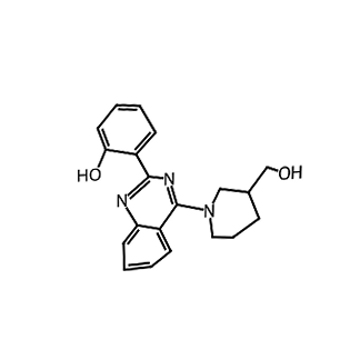 OCC1CCCN(c2nc(-c3ccccc3O)nc3ccccc23)C1